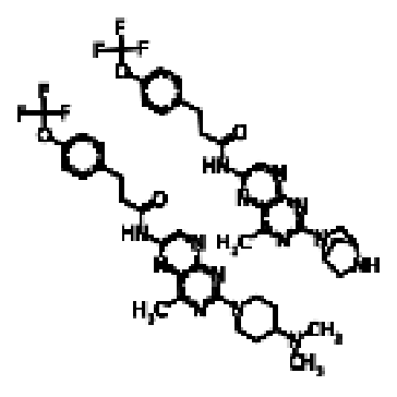 Cc1nc(N2CC3CC2CN3)nc2ncc(NC(=O)CCc3ccc(OC(F)(F)F)cc3)nc12.Cc1nc(N2CCC(N(C)C)CC2)nc2ncc(NC(=O)CCc3ccc(OC(F)(F)F)cc3)nc12